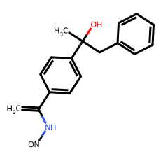 C=C(NN=O)c1ccc(C(C)(O)Cc2ccccc2)cc1